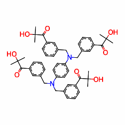 CC(C)(O)C(=O)c1cccc(CN(Cc2cccc(C(=O)C(C)(C)O)c2)c2ccc(N(Cc3cccc(C(=O)C(C)(C)O)c3)Cc3cccc(C(=O)C(C)(C)O)c3)cc2)c1